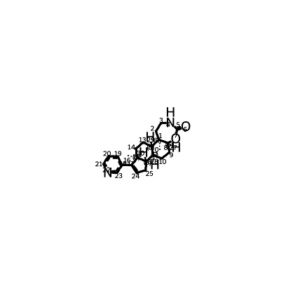 C[C@]12CCNC(=O)O[C@H]1CC[C@@H]1[C@@H]2CC[C@]2(C)C(c3cccnc3)=CC[C@@H]12